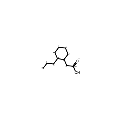 CCCC1CCCCC1CC(=O)O